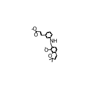 COC(=O)/C=C/c1cccc(NCc2ccc3c(c2OC)OC(C)(C)C=C3)c1